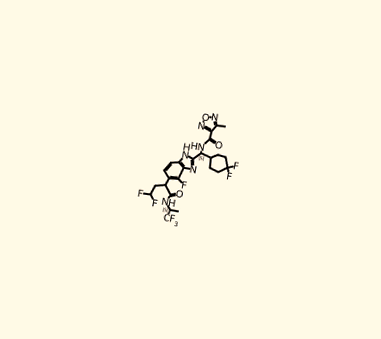 Cc1nonc1C(=O)N[C@H](c1nc2c(F)c(C(CC(F)F)C(=O)N[C@@H](C)C(F)(F)F)ccc2[nH]1)C1CCC(F)(F)CC1